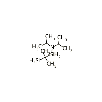 CC(C)N([SiH2]C(C)(C)[SiH3])C(C)C